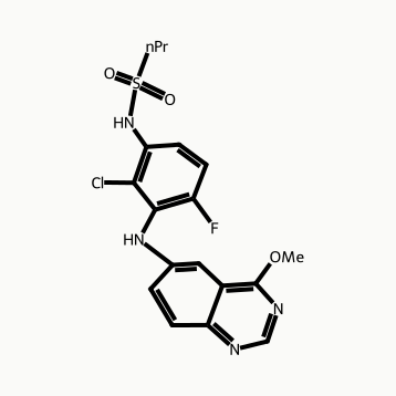 CCCS(=O)(=O)Nc1ccc(F)c(Nc2ccc3ncnc(OC)c3c2)c1Cl